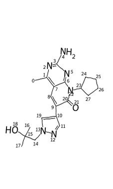 Cc1nc(N)nc2c1cc(-c1cnn(CC(C)(C)O)c1)c(=O)n2C1CCCC1